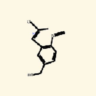 C=Nc1ccc(CO)cc1/C=C(\C)Cl